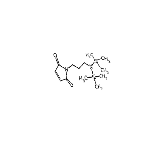 C[Si](C)(C)N(CCCN1C(=O)C=CC1=O)[Si](C)(C)C